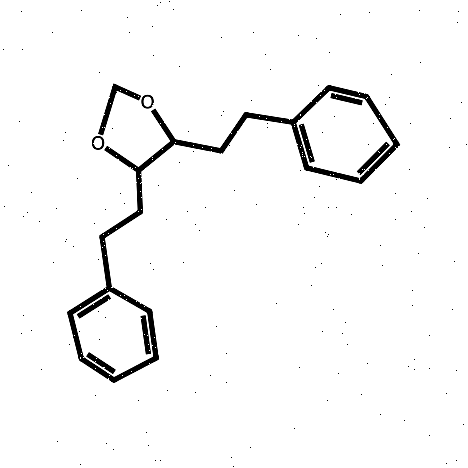 c1ccc(CCC2OCOC2CCc2ccccc2)cc1